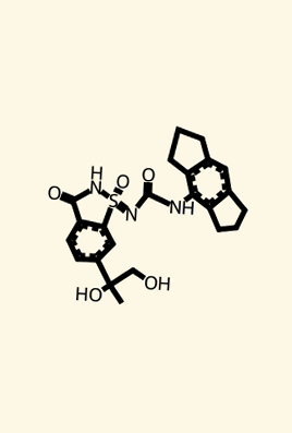 CC(O)(CO)c1ccc2c(c1)S(=O)(=NC(=O)Nc1c3c(cc4c1CCC4)CCC3)NC2=O